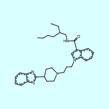 CCCCC(CC)CNC(=O)c1cn(CCCN2CCC(c3nc4ccccc4s3)CC2)c2ccccc12